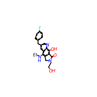 CCNc1c2c(c(O)c3ncc(Cc4ccc(F)cc4)cc13)C(=O)N(CCO)C2